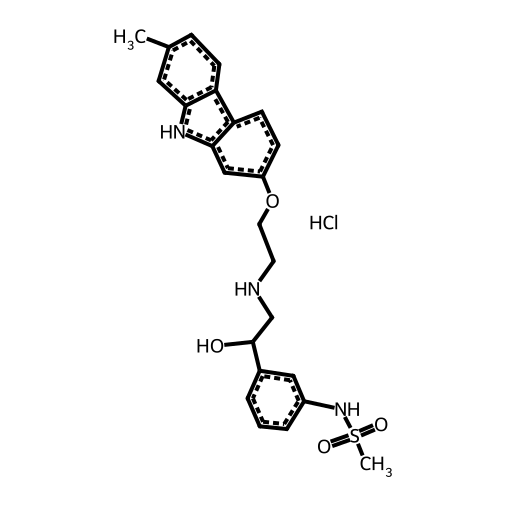 Cc1ccc2c(c1)[nH]c1cc(OCCNCC(O)c3cccc(NS(C)(=O)=O)c3)ccc12.Cl